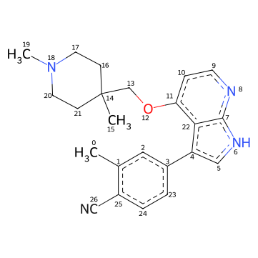 Cc1cc(-c2c[nH]c3nccc(OCC4(C)CCN(C)CC4)c23)ccc1C#N